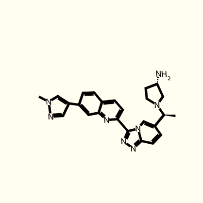 C[C@@H](c1ccc2nnc(-c3ccc4ccc(-c5cnn(C)c5)cc4n3)n2c1)N1CC[C@H](N)C1